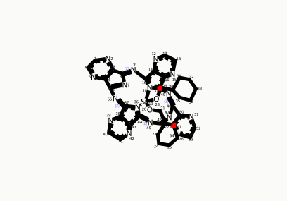 c1cnc2c(n1)C1=NC/2=N\c2c3nccnc3c3n2[Si](OCC2CCCCC2)(OCC2CCCCC2)n2/c(c4nccnc4/c2=N/C2=NC(=N\3)/c3nccnc32)=N\1